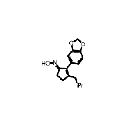 CC(C)CC1=C(c2ccc3c(c2)OCO3)C(=NO)CC1